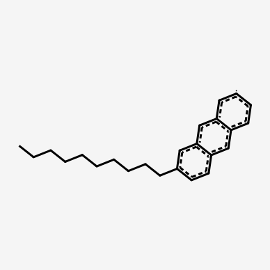 CCCCCCCCCCc1ccc2cc3cc[c]cc3cc2c1